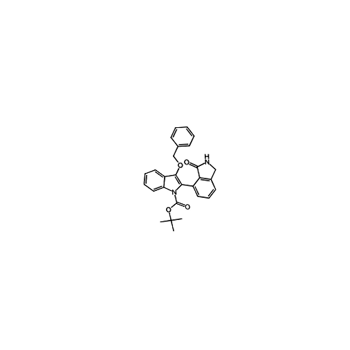 CC(C)(C)OC(=O)n1c(-c2cccc3c2C(=O)NC3)c(OCc2ccccc2)c2ccccc21